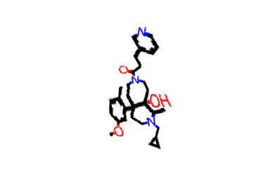 COc1ccc(C)c(C23CCN(C(=O)CCc4cccnc4)CCC2(O)C(C)N(CC2CC2)CC3)c1